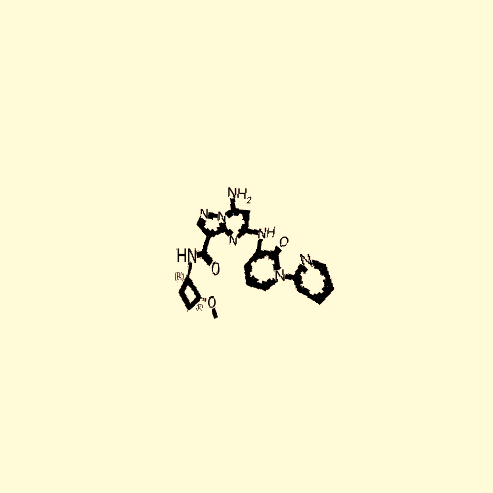 CO[C@@H]1CC[C@H]1NC(=O)c1cnn2c(N)cc(Nc3cccn(-c4ccccn4)c3=O)nc12